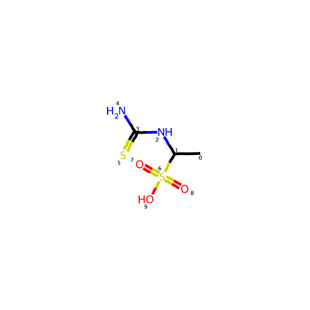 CC(NC(N)=S)S(=O)(=O)O